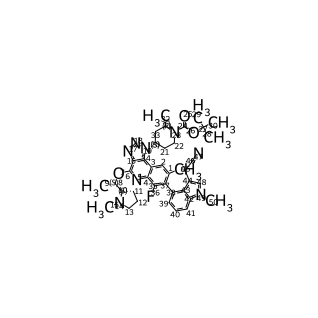 Cc1cc2c(nc(O[C@@H](C)[C@@H]3CCCN3C)c3nnn([C@H]4CCN(C(=O)OC(C)(C)C)[C@H](C)C4)c32)c(F)c1-c1cccc2c1c(CC#N)cn2C